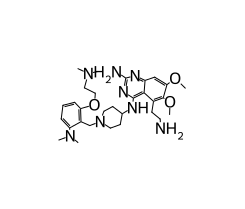 COc1cc2nc(N)nc(NC3CCN(Cc4c(OCCN(C)C)cccc4N(C)C)CC3)c2c(CCN)c1OC